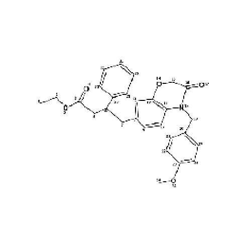 CCOC(=O)CC(Cc1ccc2c(c1)OCC(=O)N2Cc1ccc(OC)cc1)c1ccccc1